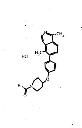 CCC(=O)N1CCC(Oc2ccc(-c3ccc4c(C)nccc4c3C)cc2)CC1.Cl